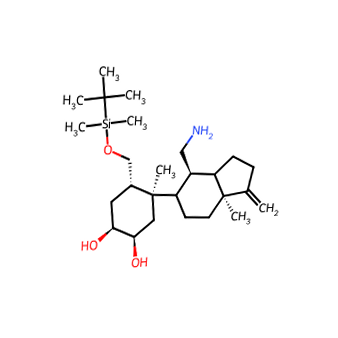 C=C1CCC2[C@H](CN)C([C@@]3(C)C[C@@H](O)[C@@H](O)C[C@@H]3CO[Si](C)(C)C(C)(C)C)CC[C@]12C